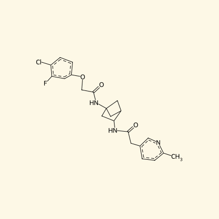 Cc1ccc(CC(=O)NC2CC3(NC(=O)COc4ccc(Cl)c(F)c4)CC2C3)cn1